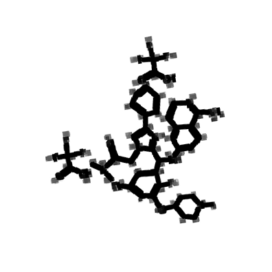 CCc1cc(OC2CCN(C)CC2)c(F)c(C(Nc2ccc3c(N)nccc3c2)c2nc(-c3ccccc3)cn2CC(=O)N(C)C)c1.O=C(O)C(F)(F)F.O=C(O)C(F)(F)F